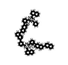 c1ccc(-c2nc(-c3cccc4ccccc34)nc(-c3cccc4c3oc3cc5ccc(-c6cccc7cc(-c8cccc(-c9nc(-c%10cccc%11ccccc%10%11)nc(-c%10cccc%11c%10oc%10cc%12ccc(-c%13ccc%14ccccc%14c%13)cc%12cc%10%11)n9)c8)ccc67)cc5cc34)n2)cc1